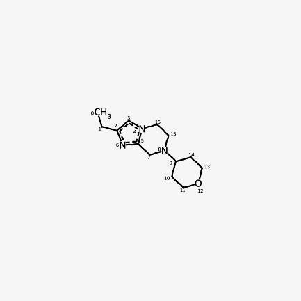 CCc1cn2c(n1)CN(C1CCOCC1)CC2